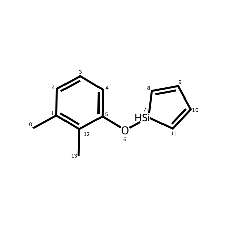 Cc1cccc(O[SiH]2C=CC=C2)c1C